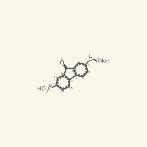 CCCCCCCCCOc1ccc2c(c1)C(=O)c1cc(C(=O)O)ccc1-2